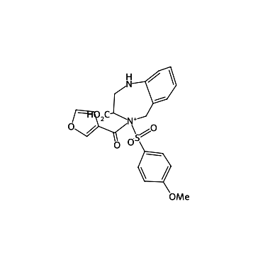 COc1ccc(S(=O)(=O)[N+]2(C(=O)c3ccoc3)Cc3ccccc3NCC2C(=O)O)cc1